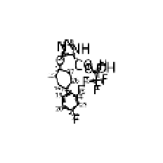 O=C(O)C(F)(F)F.O=C(O)c1[nH]nnc1O[C@H]1CC[C@H](c2ccc(F)cc2F)CC1